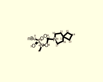 CCCCS(=O)(=O)N(C)OC(=O)N1CCC2(CCC2)CC1